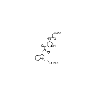 COCCCn1cc(CN(C(=O)C2CNCC(NC(=O)COC)C2)C2CC2)c2ccccc21